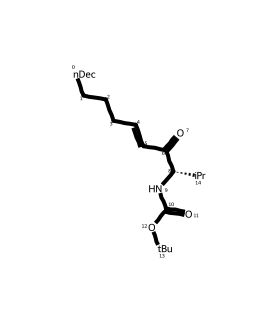 CCCCCCCCCCCCC/C=C/C(=O)[C@@H](NC(=O)OC(C)(C)C)C(C)C